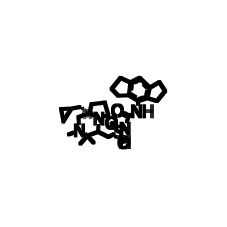 CN1C[C@@]2(CC3CC3)CCCN2C(CS(=O)(=O)NC(=O)Nc2c3c(cc4c2CCC4)CCC3)C1(C)C